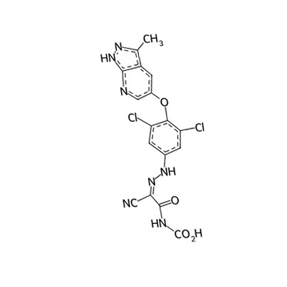 Cc1n[nH]c2ncc(Oc3c(Cl)cc(NN=C(C#N)C(=O)NC(=O)O)cc3Cl)cc12